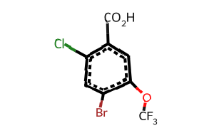 O=C(O)c1cc(OC(F)(F)F)c(Br)cc1Cl